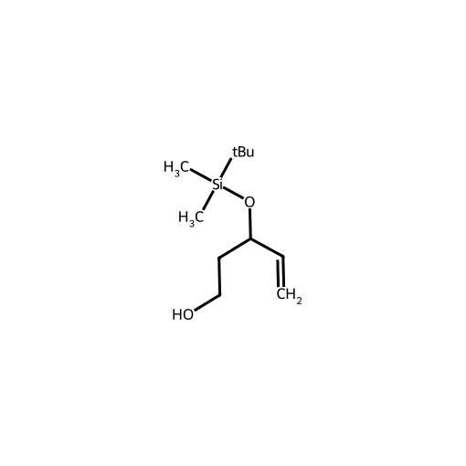 C=CC(CCO)O[Si](C)(C)C(C)(C)C